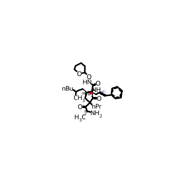 CCCCC(C)C[C@H](CC(CCC)(C(=O)NN)C(=O)[C@@H](C)N)[C@H](C/C=C/c1ccccc1)C(=O)NOC1CCCCO1